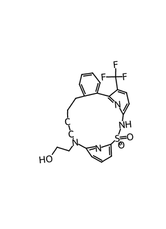 O=S1(=O)Nc2ccc(C(F)(F)F)c(n2)-c2ccccc2CCCCN(CCO)c2cccc1n2